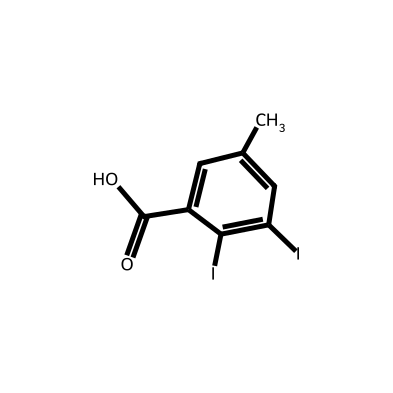 Cc1cc(I)c(I)c(C(=O)O)c1